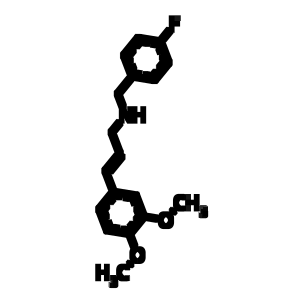 COc1ccc(/C=C/CNCc2ccc(F)cc2)cc1OC